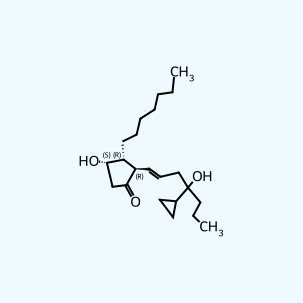 CCCCCCC[C@H]1[C@@H](O)CC(=O)[C@@H]1C=CCC(O)(CCC)C1CC1